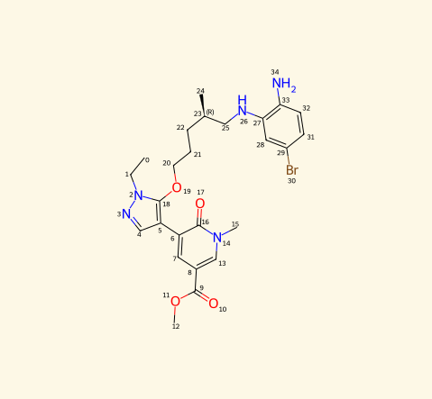 CCn1ncc(-c2cc(C(=O)OC)cn(C)c2=O)c1OCCC[C@@H](C)CNc1cc(Br)ccc1N